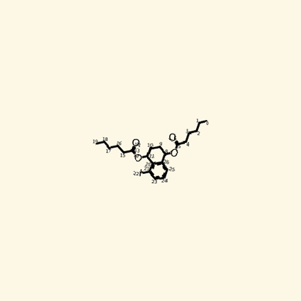 CCCCCC(=O)OC1CCC(OC(=O)CCCCC)c2c(I)cccc21